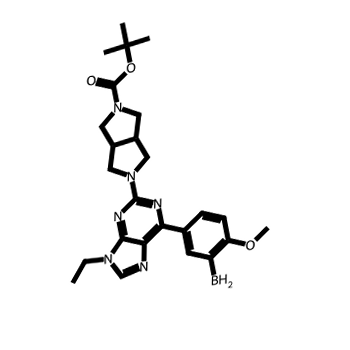 Bc1cc(-c2nc(N3CC4CN(C(=O)OC(C)(C)C)CC4C3)nc3c2ncn3CC)ccc1OC